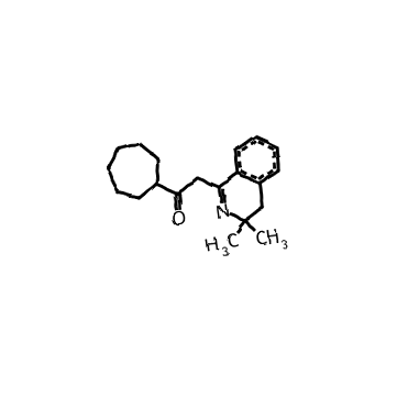 CC1(C)Cc2ccccc2C(CC(=O)C2CCCCCC2)=N1